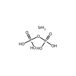 O=P(O)(O)OP(=O)(O)O.[SrH2]